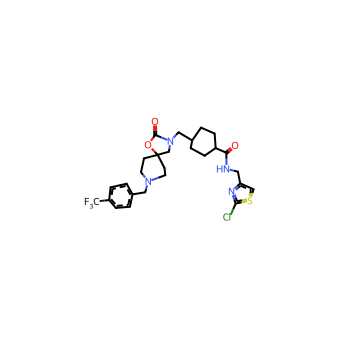 O=C(NCc1csc(Cl)n1)C1CCC(CN2CC3(CCN(Cc4ccc(C(F)(F)F)cc4)CC3)OC2=O)CC1